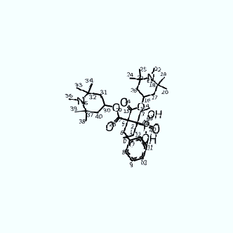 CCC(CC)(C(Cc1ccccc1)(C(=O)OC1CC(C)(C)N(C)C(C)(C)C1)C(=O)OC1CC(C)(C)N(C)C(C)(C)C1)P(=O)(O)O